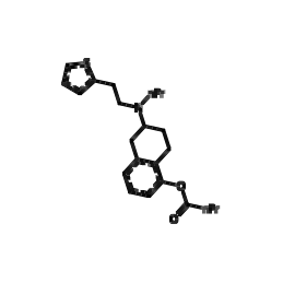 CCCC(=O)Oc1cccc2c1CCC(N(CCC)CCc1cccs1)C2